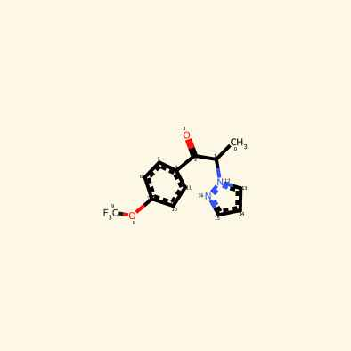 CC(C(=O)c1ccc(OC(F)(F)F)cc1)n1cccn1